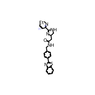 CC/C=C\C(=N/C)C1=NC(CC(=O)NCc2ccc(-c3nc4ccccc4s3)cc2)CN1